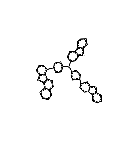 c1ccc2c(c1)ccc1c2oc2cccc(-c3ccc(N(c4ccc(-c5ccc6c(c5)sc5ccccc56)cc4)c4ccc5c(c4)sc4ccccc45)cc3)c21